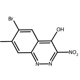 O=[N+]([O-])c1nnc2cc(F)c(Br)cc2c1O